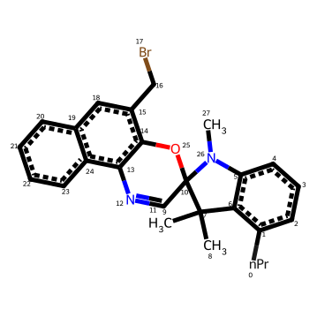 CCCc1cccc2c1C(C)(C)C1(C=Nc3c(c(CBr)cc4ccccc34)O1)N2C